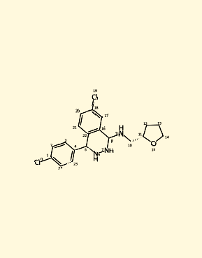 Clc1ccc(C2NNC(NC[C@@H]3CCCO3)c3cc(Cl)ccc32)cc1